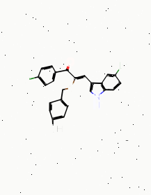 Cc1ccc(CSC(=Cc2c[nH]c3ccc(Br)cc23)C(=O)c2ccc(Cl)cc2)cc1